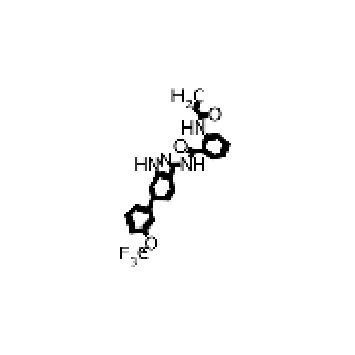 C=CC(=O)Nc1ccccc1C(=O)Nc1n[nH]c2cc(-c3cccc(OC(F)(F)F)c3)ccc12